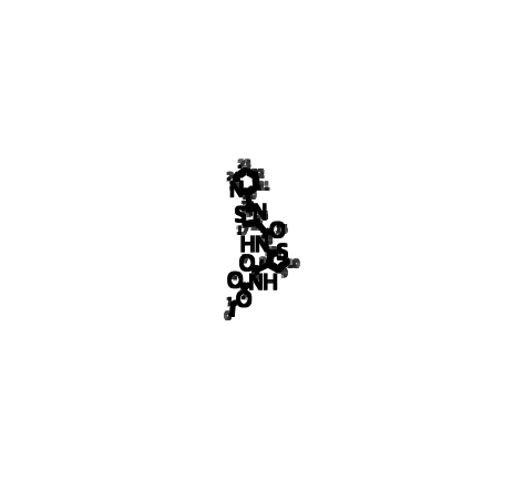 CCOC(=O)NC(=O)c1ccsc1NC(=O)c1csc(-c2ccccn2)n1